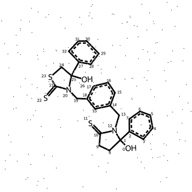 OC1(c2ccccc2)CCC(=S)N1Cc1cccc(CN2C(=S)SCC2(O)c2ccccc2)c1